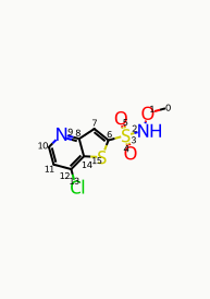 CONS(=O)(=O)c1cc2nccc(Cl)c2s1